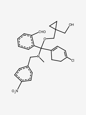 CN(Cc1ccc([N+](=O)[O-])cc1)C(OCC1(CO)CC1)(C1=CC=C(Cl)CC1)c1ccccc1C=O